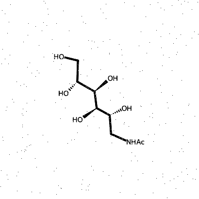 CC(=O)NC[C@@H](O)[C@@H](O)[C@H](O)[C@H](O)CO